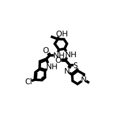 CN1CCc2nc(C(=O)NC3CCC(C)(O)CC3NC(=O)c3cc4cc(Cl)ccc4[nH]3)sc2C1